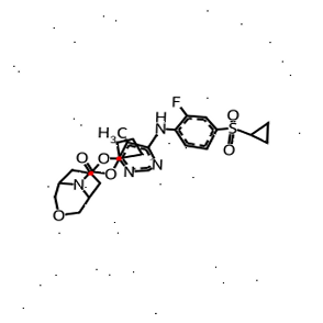 Cc1c(Nc2ccc(S(=O)(=O)C3CC3)cc2F)ncnc1OC1CC2COCC(C1)N2C(=O)OC1CCC1